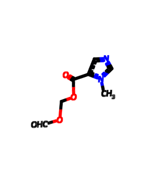 Cn1cncc1C(=O)OCOC=O